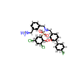 NCc1cccc(CN(Cc2ccc(-c3ccc(F)cc3)cc2)S(=O)(=O)c2cc(Cl)cc(Cl)c2O)c1